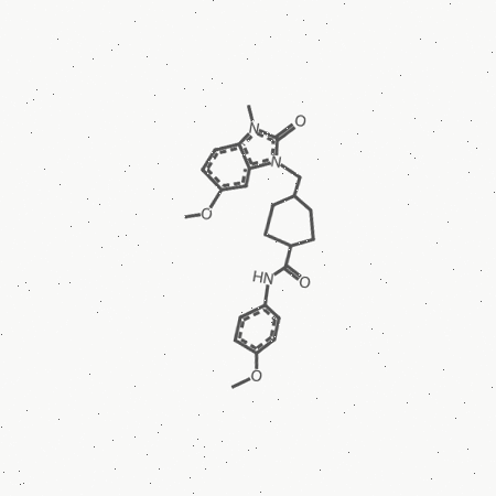 COc1ccc(NC(=O)C2CCC(Cn3c(=O)n(C)c4ccc(OC)cc43)CC2)cc1